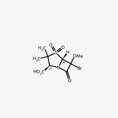 COC1(Br)C(=O)N2[C@@H](C(=O)O)C(C)(C)S(=O)(=O)[C@@H]21